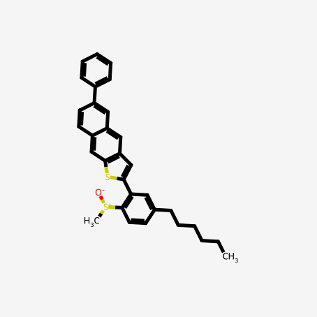 CCCCCCc1ccc([S+](C)[O-])c(-c2cc3cc4cc(-c5ccccc5)ccc4cc3s2)c1